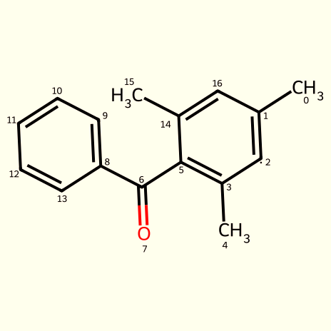 Cc1[c]c(C)c(C(=O)c2ccccc2)c(C)c1